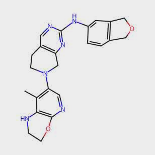 Cc1c(N2CCc3cnc(Nc4ccc5c(c4)COC5)nc3C2)cnc2c1NCCO2